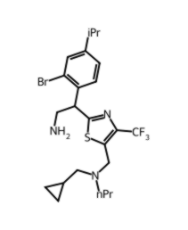 CCCN(Cc1sc(C(CN)c2ccc(C(C)C)cc2Br)nc1C(F)(F)F)CC1CC1